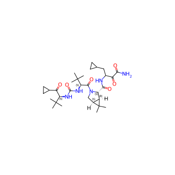 CC(C)(C)[C@H](NC(=O)N[C@H](C(=O)N1C[C@H]2[C@@H]([C@H]1C(=O)NC(CC1CC1)C(=O)C(N)=O)C2(C)C)C(C)(C)C)C(=O)C1CC1